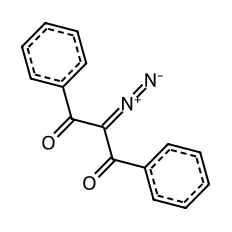 [N-]=[N+]=C(C(=O)c1ccccc1)C(=O)c1ccccc1